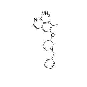 Cc1cc2c(N)nccc2cc1OC1CCCN(Cc2ccccc2)C1